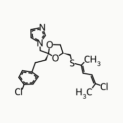 C/C(Cl)=C\C=C(/C)SC[C@@H]1CO[C@@](CCc2ccc(Cl)cc2)(Cn2ccnc2)O1